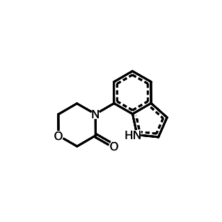 O=C1COCCN1c1cccc2cc[nH]c12